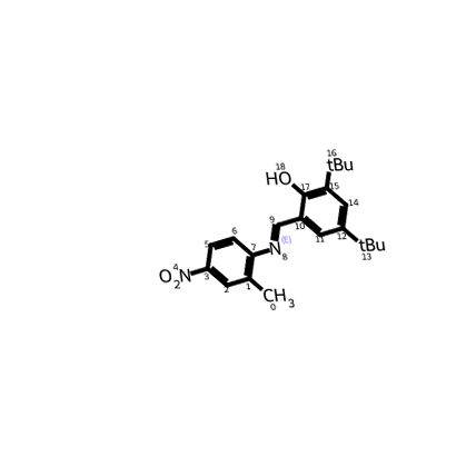 Cc1cc([N+](=O)[O-])ccc1/N=C/c1cc(C(C)(C)C)cc(C(C)(C)C)c1O